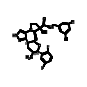 N[C@H]1C[C@H](c2n[nH]cc2N2CCC(O)(C(=O)NCc3cc(Cl)cc(Cl)c3)C2=O)CO[C@@H]1c1cc(F)ccc1F